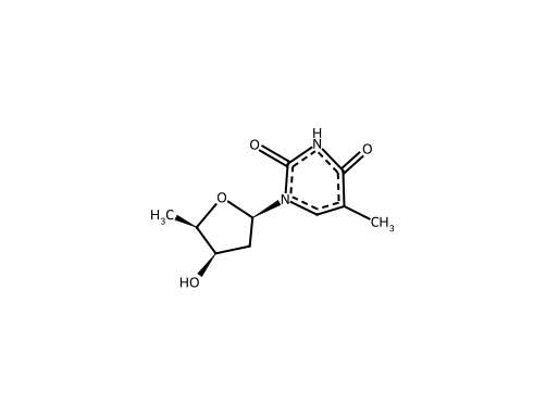 Cc1cn([C@H]2C[C@@H](O)[C@@H](C)O2)c(=O)[nH]c1=O